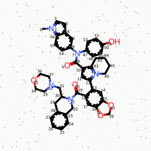 Cn1ccc2cc(N(C(=O)c3cc(-c4cc5c(cc4C(=O)N4Cc6ccccc6CC4CN4CCOCC4)OCO5)n4c3CCCC4)c3ccc(O)cc3)ccc21